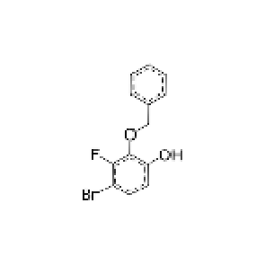 Oc1ccc(Br)c(F)c1OCc1ccccc1